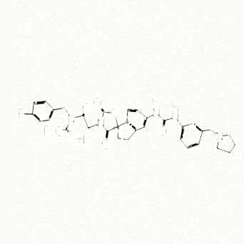 C[C@H](N(Cc1ccc(F)cc1)C(=O)CN1C(=O)O[C@@]2(CCc3cc(NC(=O)Nc4cccc(CN5CCCC5)c4)ccc32)C1=O)C(F)(F)F